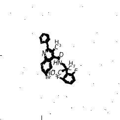 Cc1c(-c2ccccc2)nc2ccc(Br)cc2c1C(=O)NCC(C)(C(=O)O)c1c(F)cccc1F